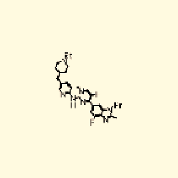 C=N/C=C(F)\C(=N/CNc1ccc(CC2CCN(CC)CC2)cn1)c1cc(F)c2nc(C)n(C(C)C)c2c1